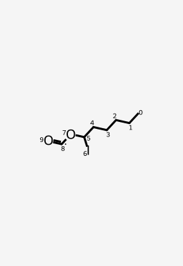 CCCCCC(I)O[C]=O